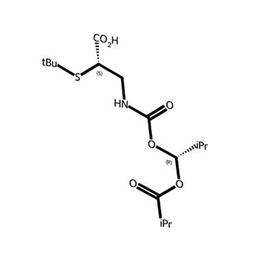 CC(C)C(=O)O[C@H](OC(=O)NC[C@H](SC(C)(C)C)C(=O)O)C(C)C